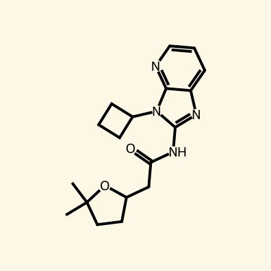 CC1(C)CCC(CC(=O)Nc2nc3cccnc3n2C2CCC2)O1